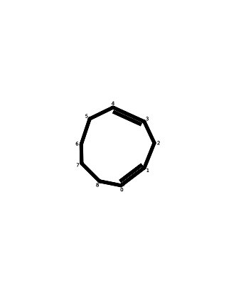 [C]1=CCC=CCCCC1